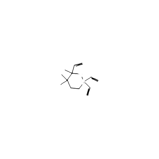 C=CC1(C)O[Si](C=C)(C=C)CCC1(C)C